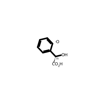 O=C(O)[C@@H](O)c1ccccc1.[O]